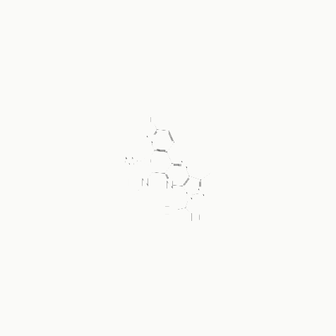 CCC(CC)n1nc(C)c2nc(-c3ccc(C(C)C)nc3OC)c(CN)nc21